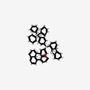 c1ccc(-c2cccc3cccc(-c4cccc(N(c5ccc([Si](c6ccccc6)(c6ccccc6)c6ccccc6)cc5)c5cccc6c5oc5ccccc56)c4)c23)cc1